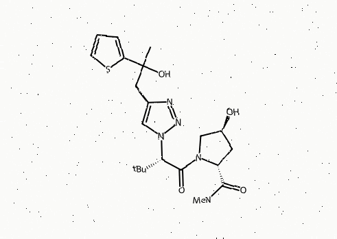 CNC(=O)[C@H]1C[C@H](O)CN1C(=O)[C@@H](n1cc(CC(C)(O)c2cccs2)nn1)C(C)(C)C